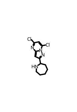 Clc1cc(Cl)n2nc(C3CCCCCN3)cc2n1